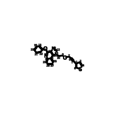 C(#Cc1ccsc1)COCCn1cnc2c(Oc3ccccc3)nc3ccccc3c21